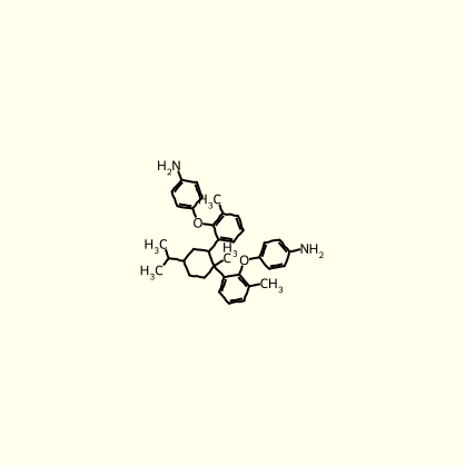 Cc1cccc(C2CC(C(C)C)CCC2(C)c2cccc(C)c2Oc2ccc(N)cc2)c1Oc1ccc(N)cc1